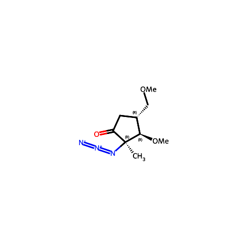 COC[C@H]1CC(=O)[C@](C)(N=[N+]=[N-])[C@@H]1OC